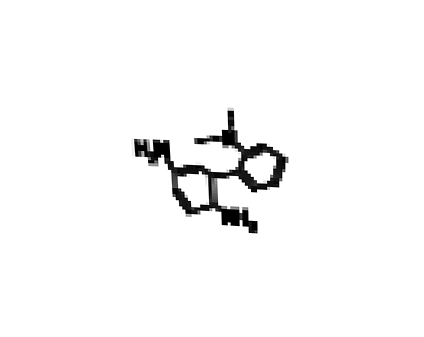 CN(C)c1ccccc1-c1cc(N)ccc1N